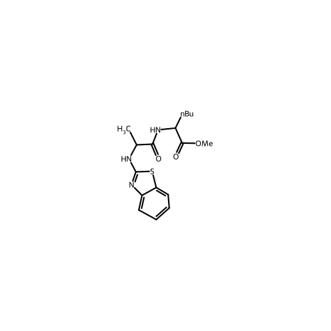 CCCCC(NC(=O)C(C)Nc1nc2ccccc2s1)C(=O)OC